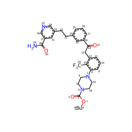 CC(C)(C)OC(=O)N1CCN(c2cccc(CC(=O)c3cccc(CCc4cncc(C(N)=O)c4)c3)c2C(F)(F)F)CC1